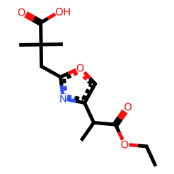 CCOC(=O)C(C)c1coc(CC(C)(C)C(=O)O)n1